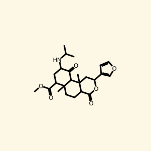 COC(=O)C1CC(NC(C)C)C(=O)C2C1(C)CCC1C(=O)OC(c3ccoc3)CC12C